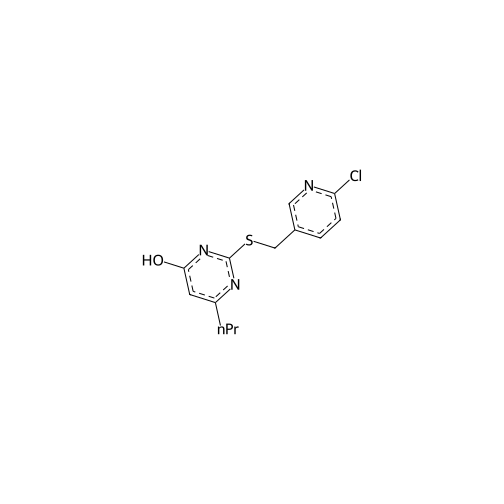 CCCc1cc(O)nc(SCc2ccc(Cl)nc2)n1